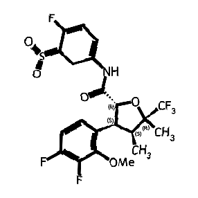 COc1c([C@H]2[C@H](C(=O)NC3=CC=C(F)C(=S(=O)=O)C3)O[C@@](C)(C(F)(F)F)[C@H]2C)ccc(F)c1F